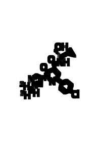 [2H]C([2H])([2H])n1cc(-n2nc(-c3ccc(Cl)cc3)cc(C(=O)N[C@H](CO)C3CC3)c2=O)cn1